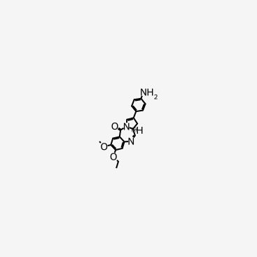 CCOc1cc2c(cc1OC)C(=O)N1C=C(c3ccc(N)cc3)C[C@H]1C=N2